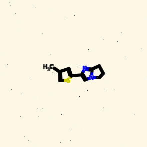 Cc1csc(-c2cn3c(n2)CCC3)c1